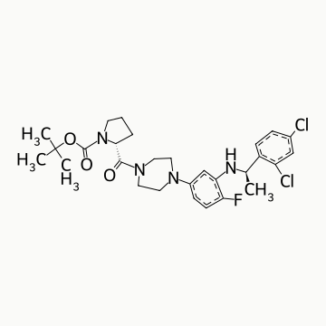 C[C@@H](Nc1cc(N2CCN(C(=O)[C@H]3CCCN3C(=O)OC(C)(C)C)CC2)ccc1F)c1ccc(Cl)cc1Cl